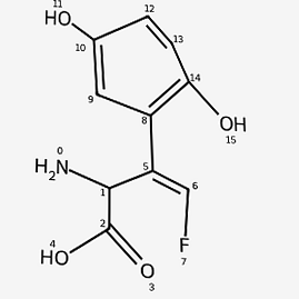 NC(C(=O)O)C(=CF)c1cc(O)ccc1O